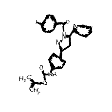 CC(C)OC(=O)Nc1ccc(C2=NN(C(=O)c3ccc(I)cc3)C(c3ccccn3)C2)cc1